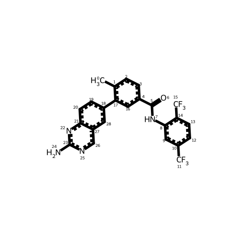 Cc1ccc(C(=O)Nc2cc(C(F)(F)F)ccc2C(F)(F)F)cc1-c1ccc2nc(N)ncc2c1